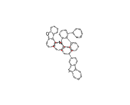 c1ccc(-c2ccccc2-c2c(-c3ccccc3)cccc2N(c2ccc(-c3ccc4c(c3)sc3ccccc34)cc2)c2cccc3oc4ccccc4c23)cc1